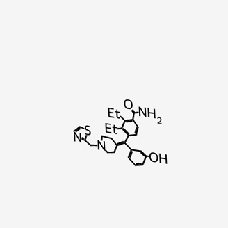 CCc1c(C(N)=O)ccc(C(=C2CCN(Cc3nccs3)CC2)c2cccc(O)c2)c1CC